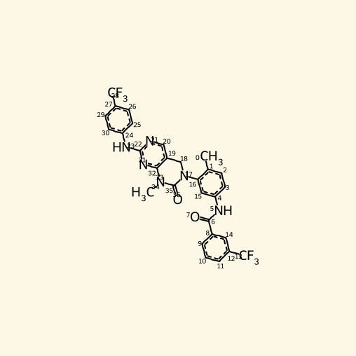 Cc1ccc(NC(=O)c2cccc(C(F)(F)F)c2)cc1N1Cc2cnc(Nc3ccc(C(F)(F)F)cc3)nc2N(C)C1=O